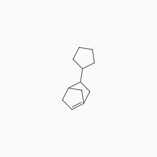 C1=C2CC(C1)C(C1CCCC1)C2